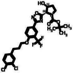 CC(C)(C)OC(=O)N1CC[C@H](O)[C@H]1c1nc(-c2ccc(OCCCc3ccc(Cl)c(Cl)c3)c(C(F)(F)F)c2)no1